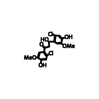 COc1cc(C(=O)CC(O)c2cc(OC)c(O)cc2Cl)c(Cl)cc1O